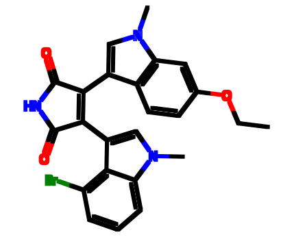 CCOc1ccc2c(C3=C(c4cn(C)c5cccc(Br)c45)C(=O)NC3=O)cn(C)c2c1